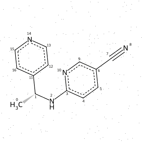 C[C@@H](Nc1ccc(C#N)cn1)c1ccncc1